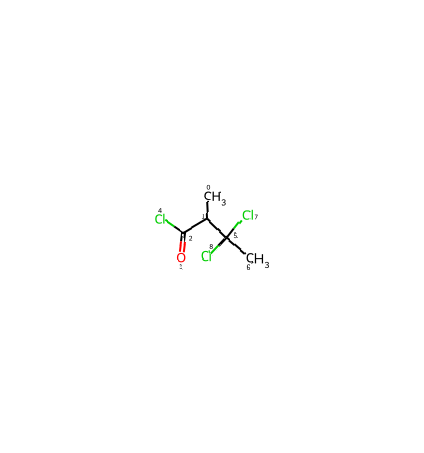 CC(C(=O)Cl)C(C)(Cl)Cl